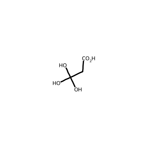 O=C(O)CC(O)(O)O